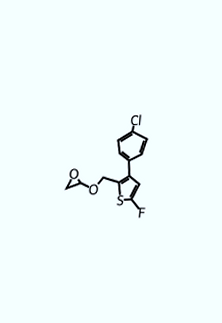 Fc1cc(-c2ccc(Cl)cc2)c(COC2CO2)s1